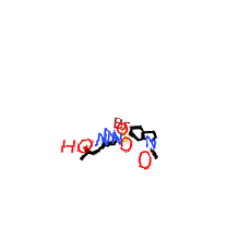 CC(=O)N1CCc2cc(Br)c(S(=O)(=O)n3cc(CC(C)O)nn3)cc21